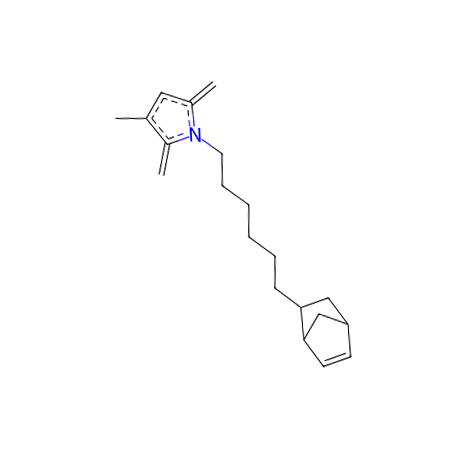 C=c1cc(C)c(=C)n1CCCCCCC1CC2C=CC1C2